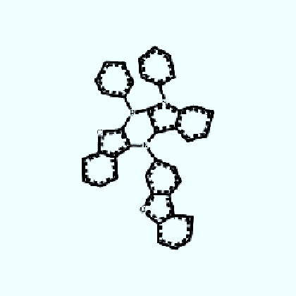 c1ccc(B2c3oc4ccccc4c3N(c3ccc4c(c3)oc3ccccc34)c3c2n(-c2ccccc2)c2ccccc32)cc1